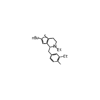 CCCCc1cc2c(s1)CCN(CC)C2Cc1ccc(C)c(CC)c1